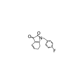 O=C1C(=O)N(Cc2ccc(F)cc2)C2=C1C=CCC2